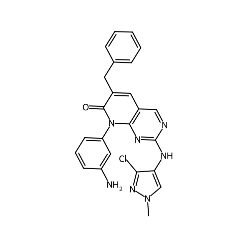 Cn1cc(Nc2ncc3cc(Cc4ccccc4)c(=O)n(-c4cccc(N)c4)c3n2)c(Cl)n1